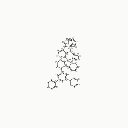 c1ccc(-c2cc(-c3ccccc3)nc(-c3cccc4c3-c3ccccc3C43c4ccccc4C4(c5ccccc5)c5ccccc5-c5cccc3c54)n2)cc1